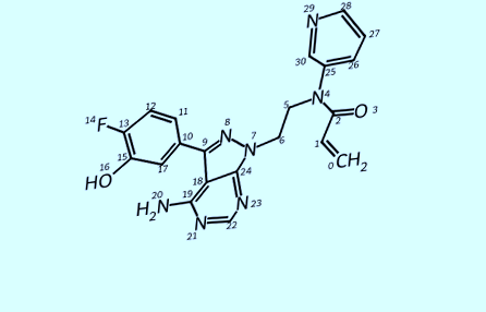 C=CC(=O)N(CCn1nc(-c2ccc(F)c(O)c2)c2c(N)ncnc21)c1cccnc1